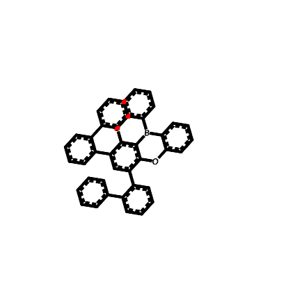 c1ccc(-c2ccccc2-c2cc(-c3ccccc3-c3ccccc3)c3c4c2Oc2ccccc2B4c2ccccc2O3)cc1